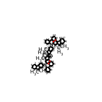 CC1(C)c2ccccc2-c2ccc(N(c3ccc4c(c3)C(C)(C)c3c-4oc4c3C(C)(C)c3cc(N(c5ccc6c(c5)C(C)(C)c5ccccc5-6)c5ccccc5-c5ccccc5)ccc3-4)c3ccccc3-c3ccccc3)cc21